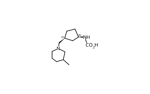 CC1CCCN(C[C@H]2CC[C@@H](NC(=O)O)C2)C1